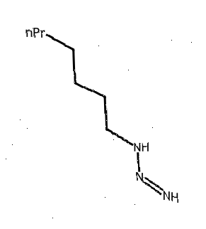 CCCCCCCNN=N